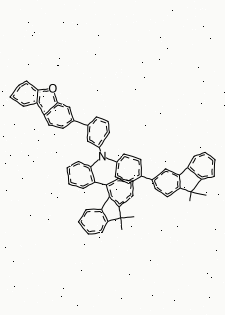 CC1(C)c2ccccc2-c2cc(-c3ccc(N(c4cccc(-c5ccc6c(c5)oc5ccccc56)c4)c4ccccc4-c4cccc5c4-c4ccccc4C5(C)C)cc3)ccc21